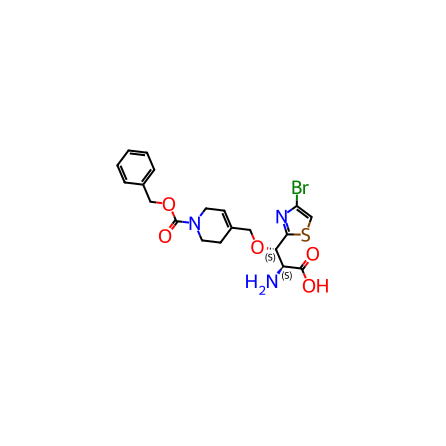 N[C@H](C(=O)O)[C@H](OCC1=CCN(C(=O)OCc2ccccc2)CC1)c1nc(Br)cs1